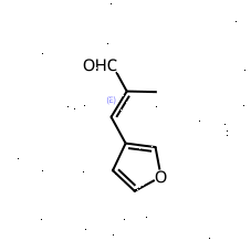 C/C(C=O)=C\c1ccoc1